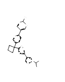 CC(C)n1cc(-c2nc(C3(c4ccc(C5=CNC(N)N=C5)nc4)CCC3)no2)cn1